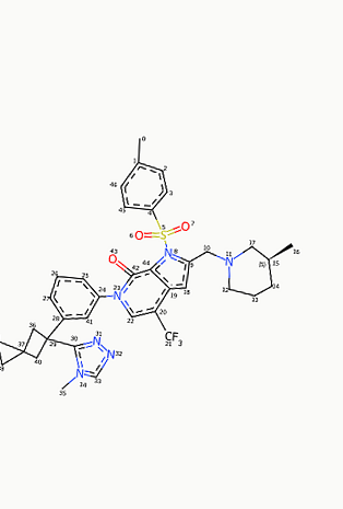 Cc1ccc(S(=O)(=O)n2c(CN3CCC[C@H](C)C3)cc3c(C(F)(F)F)cn(-c4cccc(C5(c6nncn6C)CC6(CC6)C5)c4)c(=O)c32)cc1